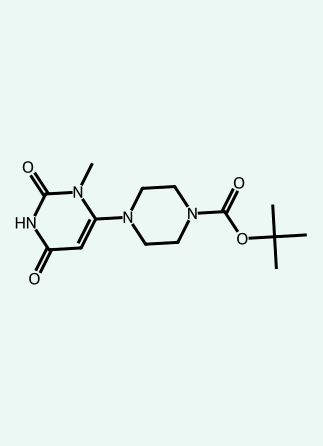 Cn1c(N2CCN(C(=O)OC(C)(C)C)CC2)cc(=O)[nH]c1=O